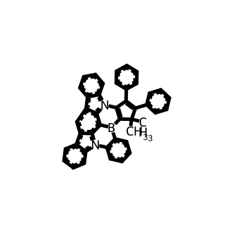 CC1(C)C2=C(C(c3ccccc3)=C1c1ccccc1)n1c3ccccc3c3cc4c5ccccc5n5c4c(c31)B2c1ccccc1-5